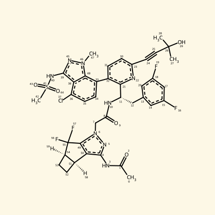 CC(=O)Nc1nn(CC(=O)N[C@@H](Cc2cc(F)cc(F)c2)c2nc(C#CC(C)(C)O)ccc2-c2ccc(Cl)c3c(NS(C)(=O)=O)nn(C)c23)c2c1[C@H]1CC[C@H]1C2(F)F